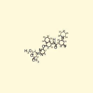 C[C@@H]1CN(c2nccc(Oc3ccc(NC(=O)c4cc(F)cc(N5CCCCC5)c4)c4ccccc34)n2)C[C@H](C)O1